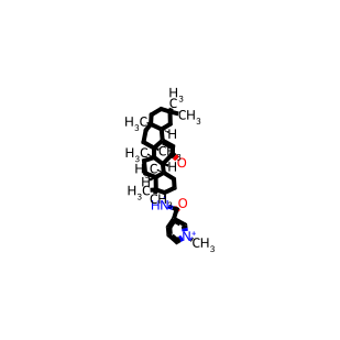 C[n+]1cccc(C(=O)N[C@H]2CC[C@]3(C)[C@H]4C(=O)C=C5[C@@H]6CC(C)(C)CC[C@]6(C)CC[C@@]5(C)[C@]4(C)CC[C@H]3C2(C)C)c1